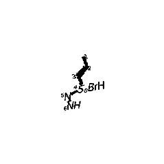 Br.CC=CSN=N